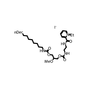 CCCCCCCCCCCCCCCCCCNC(=O)OCC(COC(=O)NCCNC(=O)c1cccc[n+]1CC)OC.[I-]